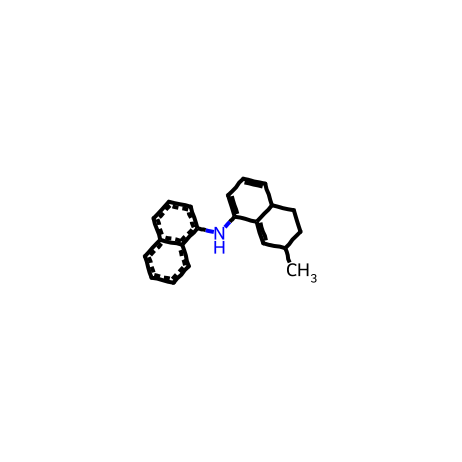 CC1C=C2C(Nc3cccc4ccccc34)=CC=CC2CC1